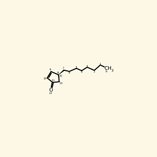 CCCCCCCC[C@@H]1C=CC(=O)C1